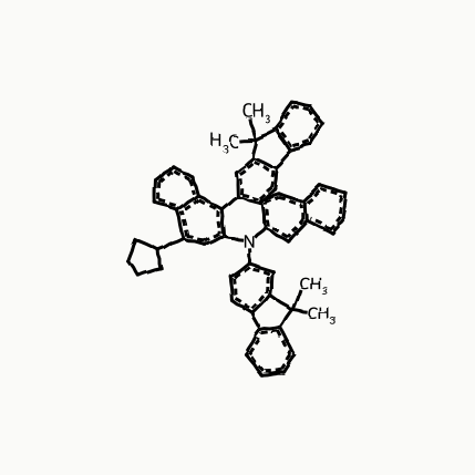 CC1(C)c2ccccc2-c2ccc(-c3c(N(c4ccc5c(c4)C(C)(C)c4ccccc4-5)c4ccc5ccccc5c4)cc(C4CCCC4)c4ccccc34)cc21